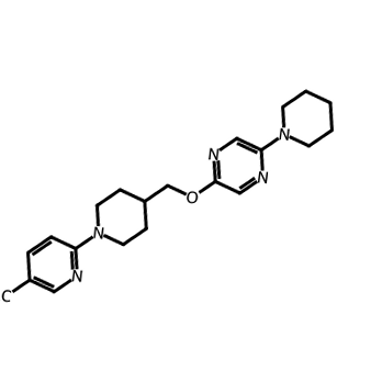 FC(F)(F)c1ccc(N2CCC(COc3cnc(N4CCCCC4)cn3)CC2)nc1